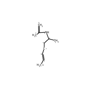 C=C(C)NC(C)CCC=CC